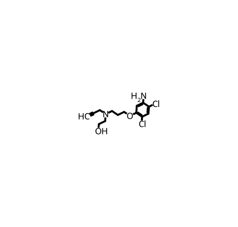 C#CCN(CCO)CCCOc1cc(N)c(Cl)cc1Cl